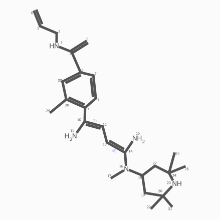 C=CCNC(=C)c1ccc(/C(N)=C/C=C(\N)N(C)C2CC(C)(C)NC(C)(C)C2)c(C)c1